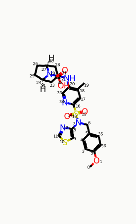 COc1ccc(CN(c2cscn2)S(=O)(=O)c2cc(C)c(NC3C[C@H]4CC[C@@H](C3)N4C(=O)O)cn2)cc1